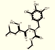 CCOC(=O)[C@H](Cc1cc(Cl)c(O)c(Cl)c1)NC(=O)C(CC(C)C)=NO